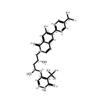 C[C@@H](C[C@@H](O)Cn1ccc2cc(-c3ncc(C(F)F)cn3)c(F)cc2c1=O)Oc1cn[nH]c(=O)c1C(F)(F)F